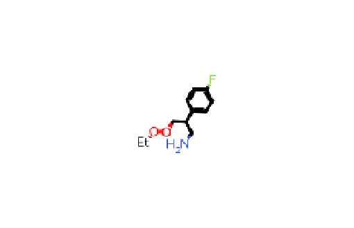 CCOOCC(CN)c1ccc(F)cc1